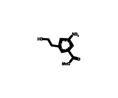 COC(=O)c1cc(CCO)cc([N+](=O)[O-])c1